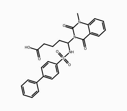 Cn1c(=O)n(C(CCCC(=O)O)NS(=O)(=O)c2ccc(-c3ccccc3)cc2)c(=O)c2ccccc21